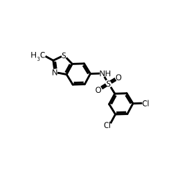 Cc1nc2ccc(NS(=O)(=O)c3cc(Cl)cc(Cl)c3)cc2s1